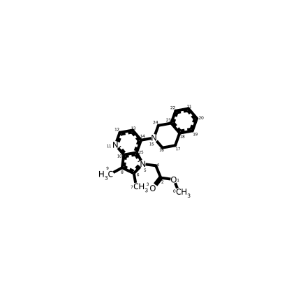 COC(=O)Cn1c(C)c(C)c2nccc(N3CCc4ccccc4C3)c21